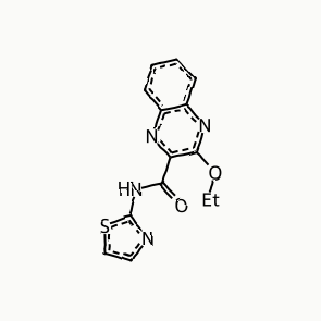 CCOc1nc2ccccc2nc1C(=O)Nc1nccs1